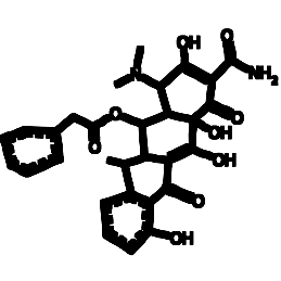 CC1c2cccc(O)c2C(=O)C2=C(O)C3(O)C(=O)C(C(N)=O)=C(O)C(N(C)C)C3C(OC(=O)Cc3ccccc3)C21